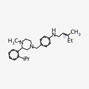 CC/C(C)=C\CNc1ccc(CN2CCN(C)C(c3ccccc3C(C)C)C2)cc1